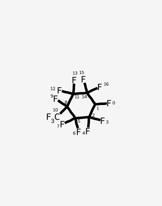 F[C]1C(F)(F)C(F)(F)C(F)(C(F)(F)F)C(F)(F)C1(F)F